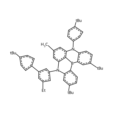 CCc1cc(-c2ccc(C(C)(C)C)cc2)cc(N2c3cc(C(C)(C)C)ccc3B3c4cc(C(C)(C)C)ccc4N(c4ccc(C(C)(C)C)cc4)c4cc(C)cc2c43)c1